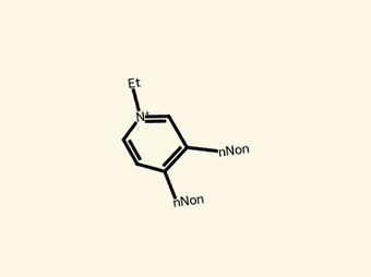 CCCCCCCCCc1cc[n+](CC)cc1CCCCCCCCC